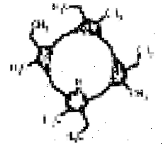 CCc1c2[nH]c(c1C)Cc1[nH]c(c(CC)c1C)Cc1[nH]c(c(C)c1CC)Cc1[nH]c(c(C)c1CC)C2